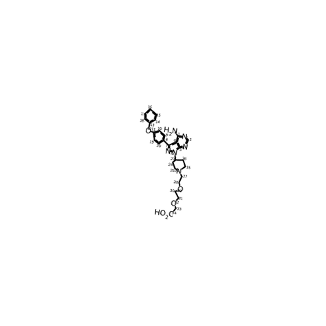 Nc1ncnc2c1c(-c1ccc(Oc3ccccc3)cc1)nn2C1CCN(CCOCCOCC(=O)O)CC1